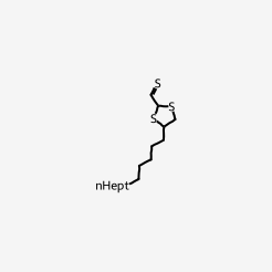 CCCCCCCCCCCCC1CSC(C=S)S1